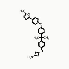 Cc1nnc(-c2ccc(Oc3ccc(C(C)(C)c4ccc(O[C@H]5C[C@H](N)C5)cc4)cc3)nc2)o1